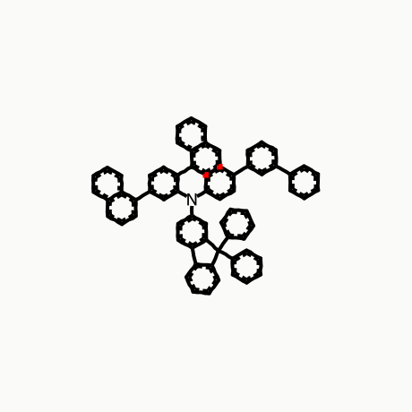 c1ccc(-c2cccc(-c3ccc(N(c4ccc5c(c4)C(c4ccccc4)(c4ccccc4)c4ccccc4-5)c4cc(-c5cccc6ccccc56)ccc4-c4cccc5ccccc45)cc3)c2)cc1